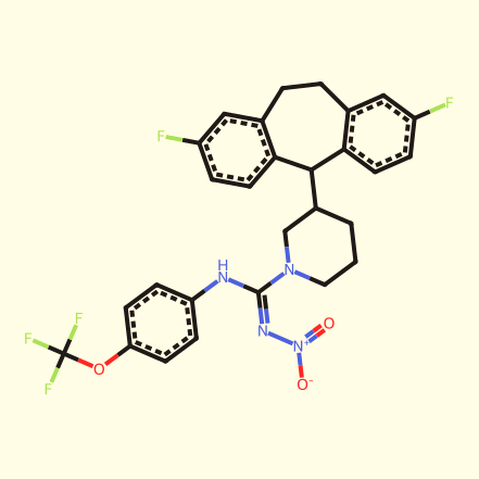 O=[N+]([O-])N=C(Nc1ccc(OC(F)(F)F)cc1)N1CCCC(C2c3ccc(F)cc3CCc3cc(F)ccc32)C1